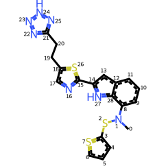 CN(Sc1cccs1)c1cccc2cc(-c3ncc(CCc4nn[nH]n4)s3)[nH]c12